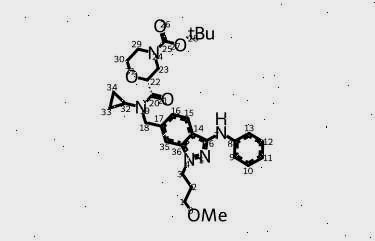 COCCCn1nc(Nc2ccccc2)c2ccc(CN(C(=O)[C@H]3CN(C(=O)OC(C)(C)C)CCO3)C3CC3)cc21